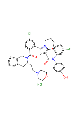 Cl.O=C(c1cc(-c2cc(Cl)ccc2C(=O)N2Cc3ccccc3C[C@H]2CCN2CCOCC2)n2c1CCCC2)N(c1ccc(O)cc1)c1cccc(F)c1